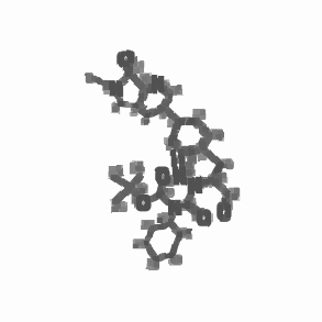 CN1Cc2cc(-c3ccc(C[C@@H](C=O)N(N)C(=O)N(C(=O)OC(C)(C)C)C4CCCCC4)cc3)cnc2C1=O